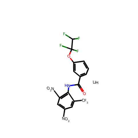 O=C(Nc1c([N+](=O)[O-])cc([N+](=O)[O-])cc1C(F)(F)F)c1cccc(OC(F)(F)C(F)F)c1.[LiH]